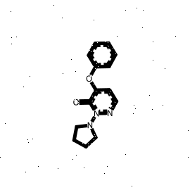 O=c1c(Oc2ccccc2)ccnn1N1CCCC1